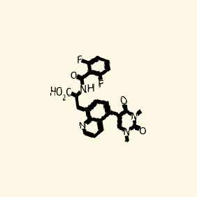 Cn1cc(-c2ccc(CC(NC(=O)c3c(F)cccc3F)C(=O)O)c3ncccc23)c(=O)n(C)c1=O